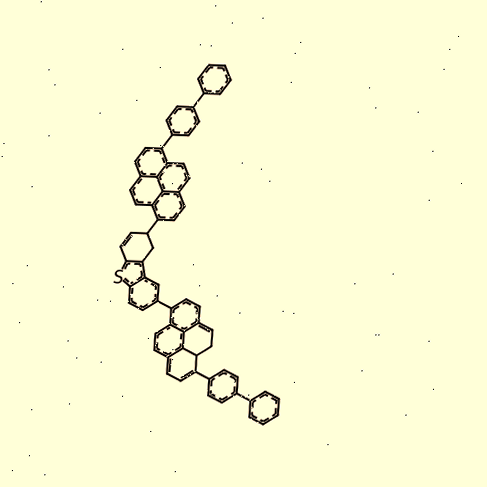 C1=CC(c2ccc3ccc4c(-c5ccc(-c6ccccc6)cc5)ccc5ccc2c3c54)Cc2c1sc1ccc(-c3ccc4c5c6c(ccc35)=CC=C(c3ccc(-c5ccccc5)cc3)C6CC=4)cc21